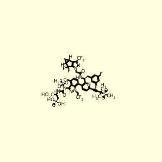 CC(C)(C#Cc1ccc(-c2ccc(Cl)c3c(N(C(=O)NC(CP(=O)(O)O)C(=O)O)S(C)(=O)=O)nn(CC(F)(F)F)c23)c([C@H](Cc2cc(F)cc(F)c2)NC(=O)Cn2nc(C(F)(F)F)c3c2C(F)(F)[C@@H]2C[C@H]32)n1)S(C)(=O)=O